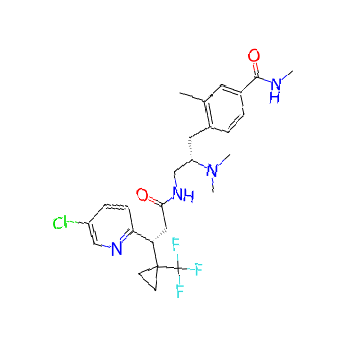 CNC(=O)c1ccc(C[C@@H](CNC(=O)C[C@@H](c2ccc(Cl)cn2)C2(C(F)(F)F)CC2)N(C)C)c(C)c1